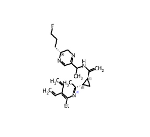 C=CC(C=C)=C(CC)/N=C(\C)[C@H]1C[C@@H]1C(=C)NC(C)C1=NC[C@@H](CCCF)N=C1